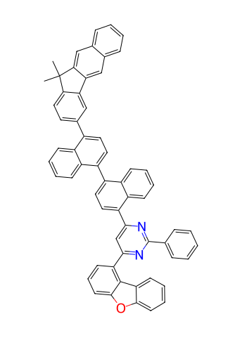 CC1(C)c2ccc(-c3ccc(-c4ccc(-c5cc(-c6cccc7oc8ccccc8c67)nc(-c6ccccc6)n5)c5ccccc45)c4ccccc34)cc2-c2cc3ccccc3cc21